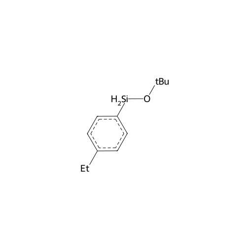 CCc1ccc([SiH2]OC(C)(C)C)cc1